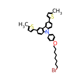 Cc1ccc(-c2ccc3c(c2)c2cc(-c4ccc(C)s4)ccc2n3-c2ccc(OCCCCCCCCBr)cc2)s1